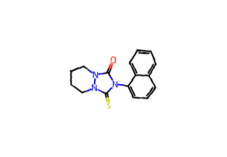 O=c1n(-c2cccc3ccccc23)c(=S)n2n1CCCC2